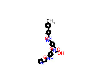 Cc1ccc(-c2ccc(-c3nc(-c4ccc(CN(CC(=O)O)C(=O)c5ccc(NC(=O)Cc6ccccn6)cc5)cc4)no3)cc2)cc1